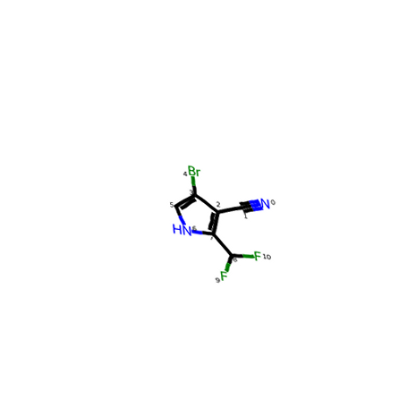 N#Cc1c(Br)c[nH]c1C(F)F